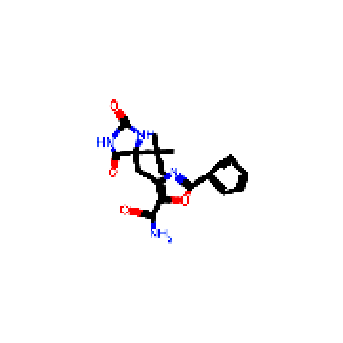 CC(C)(C)C1(Cc2nc(-c3ccccc3)oc2C(N)=O)NC(=O)NC1=O